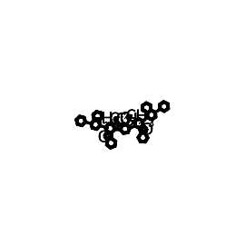 C[Si]1(C)c2cc(-c3ccc(-c4ccccc4)c4ccccc34)c3oc4ccccc4c3c2-c2ccc3c(c21)[Si](C)(C)c1cc(-c2ccc(-c4ccccc4)c4ccccc24)c2oc4ccccc4c2c1-3